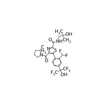 CC1CCCN1C(=O)c1nc(C(=O)NCC(C)(C)O)sc1-c1ccc(C(O)(C(F)(F)F)C(F)(F)F)cc1C(F)F